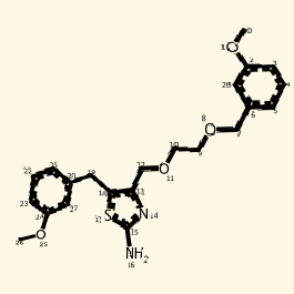 COc1cccc(COCCOCc2nc(N)sc2Cc2cccc(OC)c2)c1